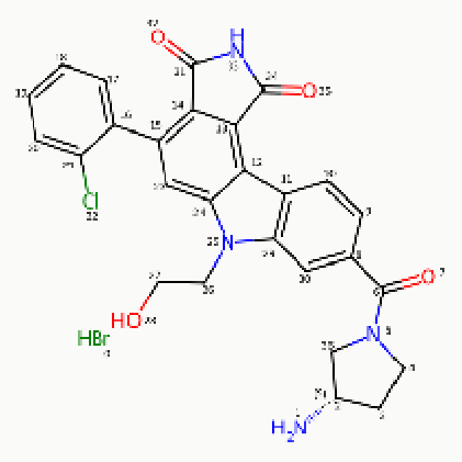 Br.N[C@H]1CCN(C(=O)c2ccc3c4c5c(c(-c6ccccc6Cl)cc4n(CCO)c3c2)C(=O)NC5=O)C1